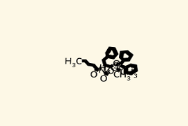 CCCCC(=O)N1C(=O)OC(O[Si](c2ccccc2)(c2ccccc2)C(C)(C)C)C1Cc1ccccc1